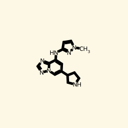 Cn1ccc(Nc2cc(C3CCNC3)cn3ncnc23)n1